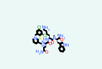 Cc1cc(Cl)cc(Cl)c1Sc1ncccc1CN[C@@H](CCC(N)=O)C(=O)N[C@@H](CCCCN)C(=O)N(C)[C@@H](Cc1c[nH]c2ccccc12)C(N)=O